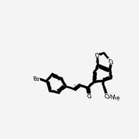 COc1cc2c(cc1C(=O)/C=C/c1ccc(Br)cc1)OCO2